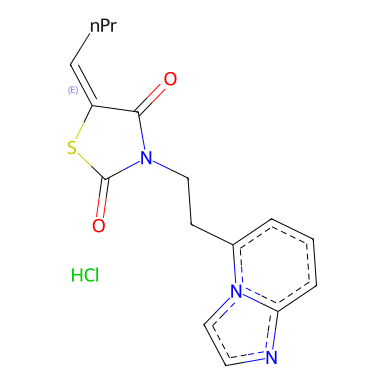 CCC/C=C1/SC(=O)N(CCc2cccc3nccn23)C1=O.Cl